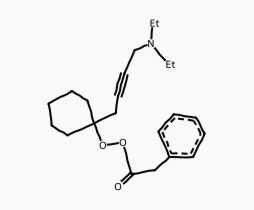 CCN(CC)CC#CCC1(OOC(=O)Cc2ccccc2)CCCCC1